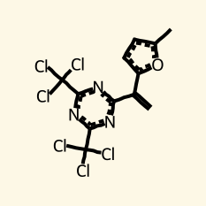 C=C(c1nc(C(Cl)(Cl)Cl)nc(C(Cl)(Cl)Cl)n1)c1ccc(C)o1